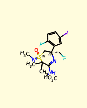 CN=[S@@]1(=O)C[C@@](CF)(c2cc(I)ccc2F)N=C(NC(=O)O)C1(C)C